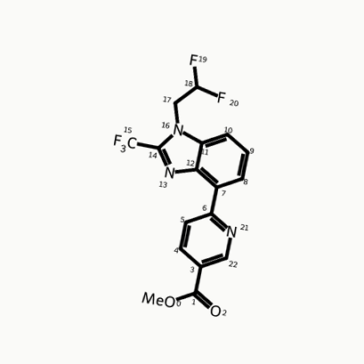 COC(=O)c1ccc(-c2cccc3c2nc(C(F)(F)F)n3CC(F)F)nc1